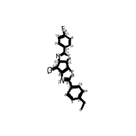 CCc1ccc(-c2nc3c(s2)-c2sc(-c4ccc(F)cc4)nc2C3=O)cc1